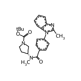 Cc1nc2ccccc2n1-c1ccc(C(=O)N(C)[C@@H]2CCN(C(=O)OC(C)(C)C)C2)cc1